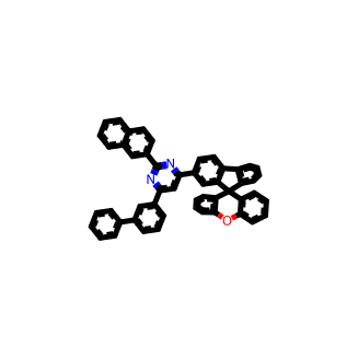 c1ccc(-c2cccc(-c3cc(-c4ccc5c(c4)C4(c6ccccc6Oc6ccccc64)c4ccccc4-5)nc(-c4ccc5ccccc5c4)n3)c2)cc1